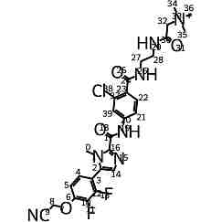 Cn1c(-c2ccc(OCC#N)c(F)c2F)cnc1C(=O)Nc1ccc(C(=O)NCCNC(=O)C[N+](C)(C)C)c(Cl)c1